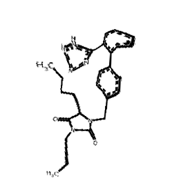 CCCCC1C(=O)N(CCC)C(=O)N1Cc1ccc(-c2ccccc2-c2nnn[nH]2)cc1